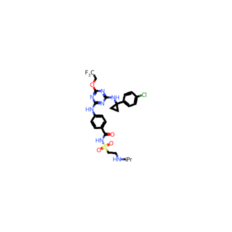 CC(C)NCCS(=O)(=O)NC(=O)c1ccc(Nc2nc(NC3(c4ccc(Cl)cc4)CC3)nc(OCC(F)(F)F)n2)cc1